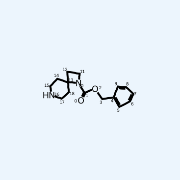 O=C(OCc1ccccc1)N1CCC12CCNCC2